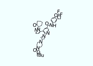 CC(C)(C)OC(=O)N1CCN(C2CN(c3ncc(C(=O)Nc4ccc(OC(F)(F)Cl)cc4)cc3-c3ccnn3C3CCCCC3=O)C2)CC1